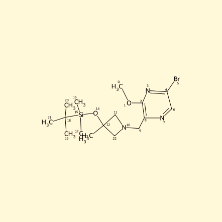 COc1nc(Br)cnc1CN1CC(C)(O[Si](C)(C)C(C)(C)C)C1